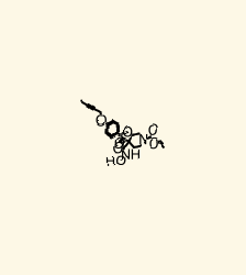 CC#CCOc1ccc(S(=O)(=O)C2(C(=O)NO)CCN(C(=O)OCC)CC2)cc1